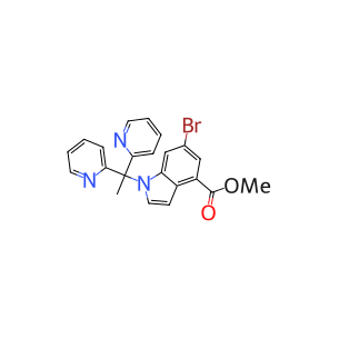 COC(=O)c1cc(Br)cc2c1ccn2C(C)(c1ccccn1)c1ccccn1